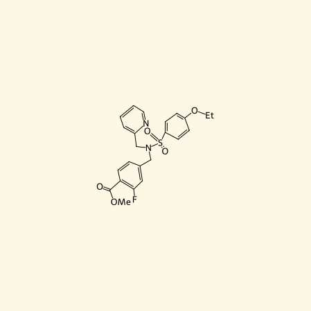 CCOc1ccc(S(=O)(=O)N(Cc2ccc(C(=O)OC)c(F)c2)Cc2ccccn2)cc1